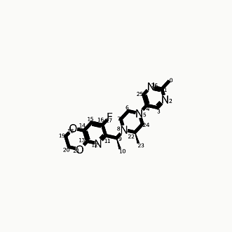 Cc1ncc(N2CCN([C@@H](C)c3nc4c(cc3F)OCCO4)[C@H](C)C2)cn1